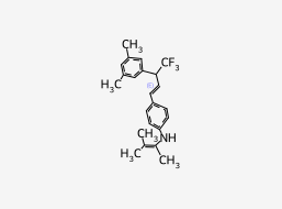 CC(C)=C(C)Nc1ccc(/C=C/C(c2cc(C)cc(C)c2)C(F)(F)F)cc1